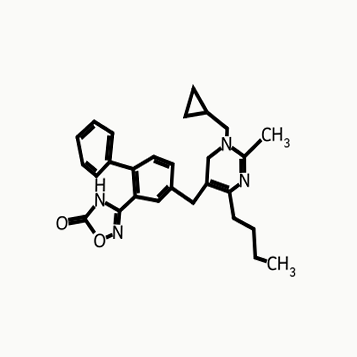 CCCCC1=C(Cc2ccc(-c3ccccc3)c(-c3noc(=O)[nH]3)c2)CN(CC2CC2)C(C)=N1